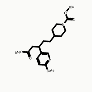 COC(=O)CC(CCC1CCN(C(=O)OC(C)(C)C)CC1)c1ccc(OC)nc1